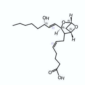 CCCCC[C@H](O)/C=C/[C@H]1O[C@H]2C[C@H](O2)C1C/C=C\CCCC(=O)O